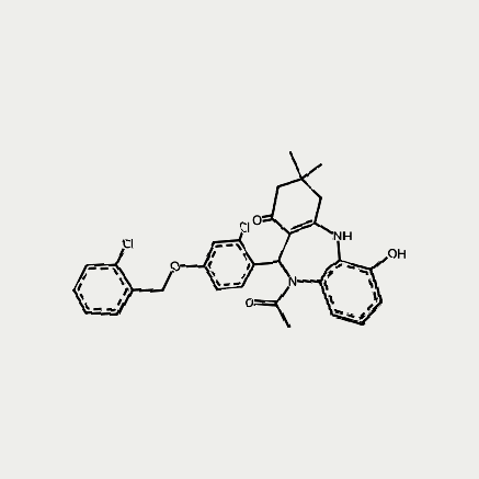 CC(=O)N1c2cccc(O)c2NC2=C(C(=O)CC(C)(C)C2)C1c1ccc(OCc2ccccc2Cl)cc1Cl